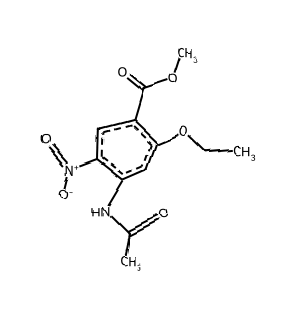 CCOc1cc(NC(C)=O)c([N+](=O)[O-])cc1C(=O)OC